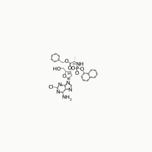 C[C@H](NP(=O)(Oc1cccc2ccccc12)O[C@@H]1C[C@H](n2cnc3c(N)nc(Cl)nc32)OC1CO)C(=O)OCc1ccccc1